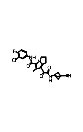 Cc1c(C(=O)C(=O)NC23CC(C#N)(C2)C3)c2n(c1C(=O)Nc1ccc(F)c(Cl)c1)CCC2